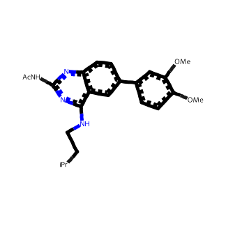 COc1ccc(-c2ccc3nc(NC(C)=O)nc(NCCC(C)C)c3c2)cc1OC